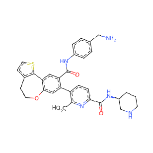 NCc1ccc(NC(=O)c2cc3c(cc2-c2ccc(C(=O)N[C@H]4CCCNC4)nc2C(=O)O)OCCc2ccsc2-3)cc1